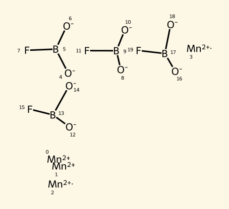 [Mn+2].[Mn+2].[Mn+2].[Mn+2].[O-]B([O-])F.[O-]B([O-])F.[O-]B([O-])F.[O-]B([O-])F